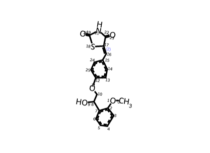 COc1ccccc1C(O)COc1ccc(/C=C2\SC(=O)NC2=O)cc1